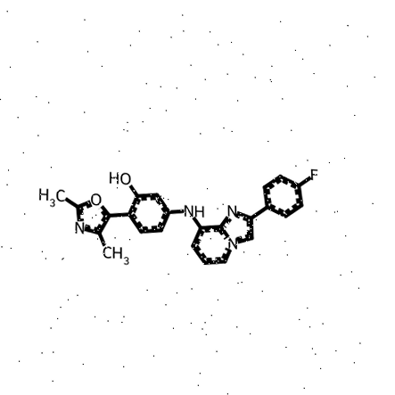 Cc1nc(C)c(-c2ccc(Nc3cccn4cc(-c5ccc(F)cc5)nc34)cc2O)o1